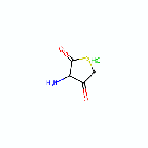 Cl.NC1C(=O)CSC1=O